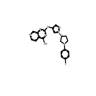 Oc1nc(Oc2cnn([C@H]3CCN(c4ccc(F)cc4)C3)c2)nc2cnccc12